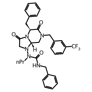 CCCN(C(=O)NCc1ccccc1)N1CC(=O)N2[C@@H](Cc3ccccc3)C(=O)N(Cc3cccc(C(F)(F)F)c3)C[C@@H]21